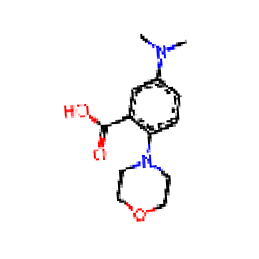 CN(C)c1ccc(N2CCOCC2)c(C(=O)O)c1